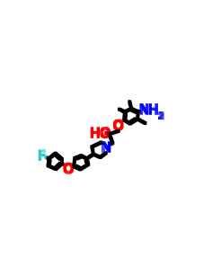 Cc1cc(OCC(O)CN2CCC(c3ccc(Oc4ccc(F)cc4)cc3)CC2)c(C)c(C)c1N